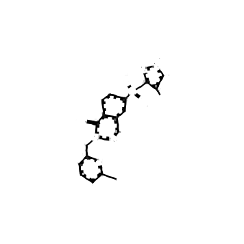 Cc1cccc(Cn2ncc3cc(S(=O)(=O)c4n[nH]cc4Cl)ccc3c2=O)n1